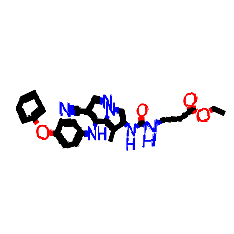 CCOC(=O)CCNC(=O)Nc1cn2ncc(C#N)c(Nc3ccc(Oc4ccccc4)cc3)c2c1C